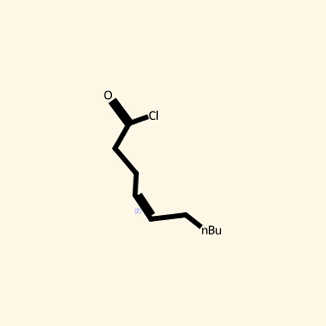 CCCCC/C=C\CCC(=O)Cl